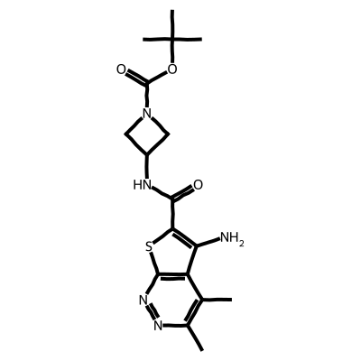 Cc1nnc2sc(C(=O)NC3CN(C(=O)OC(C)(C)C)C3)c(N)c2c1C